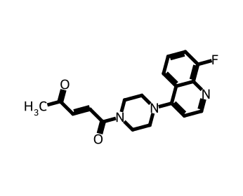 CC(=O)C=CC(=O)N1CCN(c2ccnc3c(F)cccc23)CC1